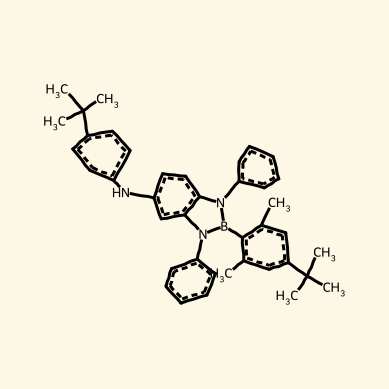 Cc1cc(C(C)(C)C)cc(C)c1B1N(c2ccccc2)c2ccc(Nc3ccc(C(C)(C)C)cc3)cc2N1c1ccccc1